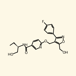 CC[C@H](CO)NC(=O)c1ccc(OCc2c(-c3ccc(F)cc3)noc2CO)nc1